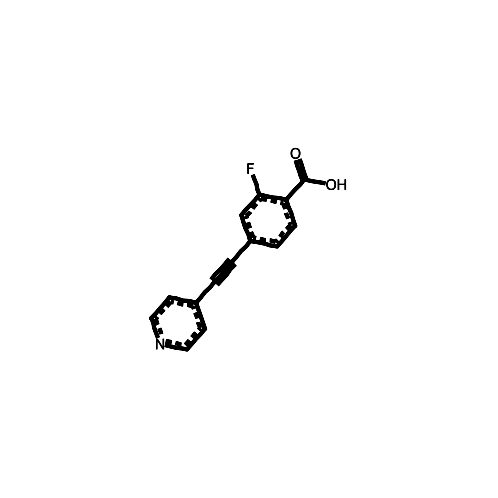 O=C(O)c1ccc(C#Cc2ccncc2)cc1F